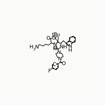 CC(C)(C)OC(=O)C(CCCCN)NC(=O)C(Cc1c[nH]c2ccccc12)NC(=O)N1CCN(C(=O)c2ccc(F)cc2)CC1